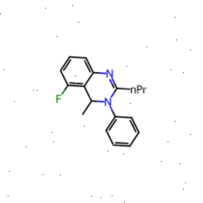 CCCC1=Nc2cccc(F)c2C(C)N1c1ccccc1